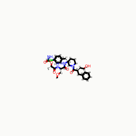 COC[C@H](NC(=O)[C@H](C)OC(N)=O)C(=O)N[C@@]1(Cc2ccc(Cl)cc2)CCCN(C(=O)[C@@H](CCO)Cc2ccccc2)C1